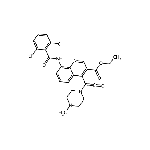 CCOC(=O)c1cnc2c(NC(=O)c3c(Cl)cccc3Cl)cccc2c1C(=C=O)N1CCN(C)CC1